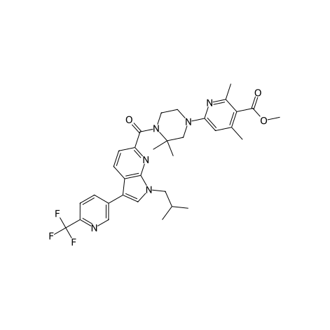 COC(=O)c1c(C)cc(N2CCN(C(=O)c3ccc4c(-c5ccc(C(F)(F)F)nc5)cn(CC(C)C)c4n3)C(C)(C)C2)nc1C